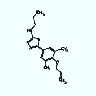 C=CCOc1c(C)cc(-c2nnc(NCCC)s2)cc1C